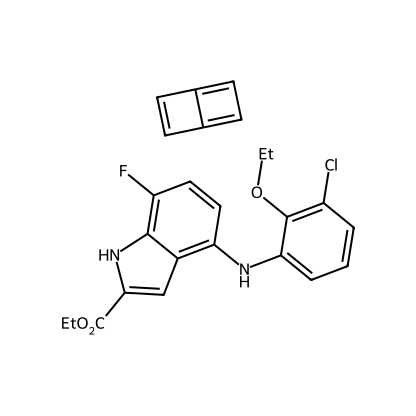 CCOC(=O)c1cc2c(Nc3cccc(Cl)c3OCC)ccc(F)c2[nH]1.c1cc2ccc1-2